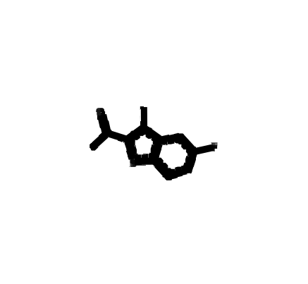 CC(=O)c1sc2ccc(F)cc2c1C